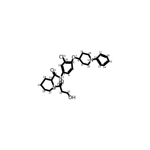 O=C(Nc1ccc(OC2CCN(c3ccccc3)CC2)c(Cl)c1)C1CCCCN1C(=O)CCO